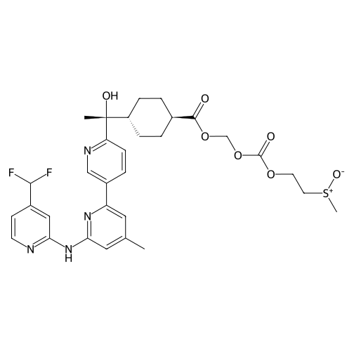 Cc1cc(Nc2cc(C(F)F)ccn2)nc(-c2ccc([C@](C)(O)[C@H]3CC[C@H](C(=O)OCOC(=O)OCC[S+](C)[O-])CC3)nc2)c1